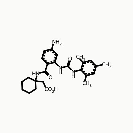 Cc1cc(C)c(NC(=O)Nc2cc(N)ccc2C(=O)NC2(CC(=O)O)CCCCC2)c(C)c1